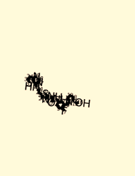 O=C(Nc1ccc(F)c(CN2CCC[C@H]2CO)c1)Nc1ncc(CCNc2ncnc3c2SCC3)s1